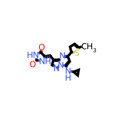 CC1=CCC(c2cc(NC3CC3)n3ncc(/C=C4\NC(=O)NC4=O)c3n2)S1